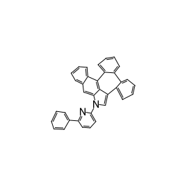 c1ccc(-c2cccc(-n3cc4c5c(c6ccccc6cc53)-c3ccccc3-c3ccccc3-4)n2)cc1